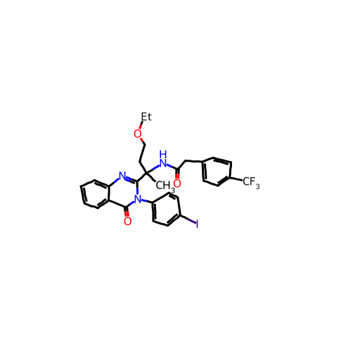 CCOCCC(C)(NC(=O)Cc1ccc(C(F)(F)F)cc1)c1nc2ccccc2c(=O)n1-c1ccc(I)cc1